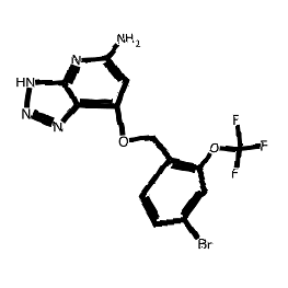 Nc1cc(OCc2ccc(Br)cc2OC(F)(F)F)c2nn[nH]c2n1